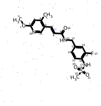 COc1cc(C)c(/C=C/C(=O)NCc2ccc(NS(C)(=O)=O)c(F)c2)cn1